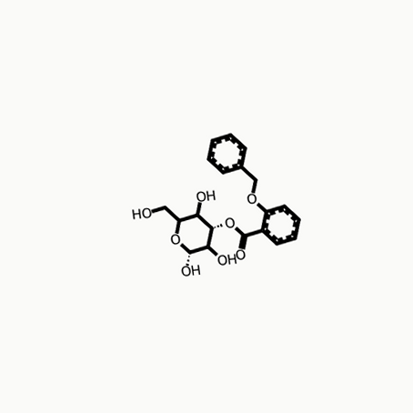 O=C(O[C@H]1C(O)C(CO)O[C@@H](O)C1O)c1ccccc1OCc1ccccc1